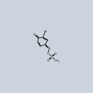 CS(=O)(=O)ON=C1C=CC(=O)C(Br)=C1